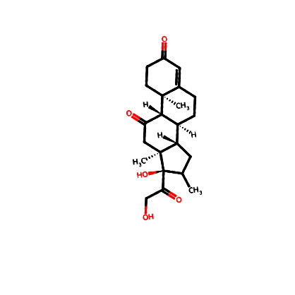 CC1C[C@H]2[C@@H]3CCC4=CC(=O)CC[C@]4(C)[C@H]3C(=O)C[C@]2(C)[C@@]1(O)C(=O)CO